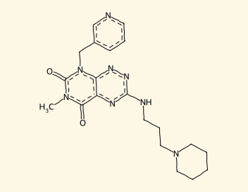 Cn1c(=O)c2nc(NCCCN3CCCCC3)nnc2n(Cc2cccnc2)c1=O